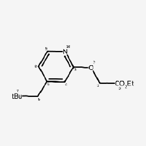 CCOC(=O)COc1cc(CC(C)(C)C)ccn1